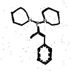 CC(=Cc1ccccc1)P(N1CCCCC1)N1CCCCC1